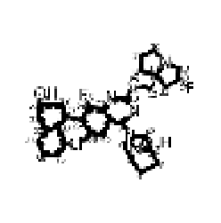 O=C(O)N1C2CCC1CN(c1nc(OC[C@@]34CCCN3C[C@H](F)C4)nc3c(F)c(-c4cc(O)cc5ccccc45)c(Cl)cc13)C2